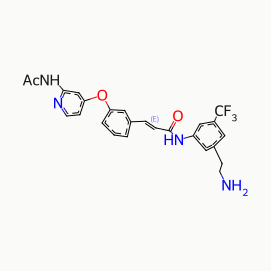 CC(=O)Nc1cc(Oc2cccc(/C=C/C(=O)Nc3cc(CCN)cc(C(F)(F)F)c3)c2)ccn1